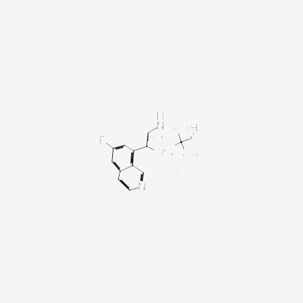 CC(C)(C)[Si](C)(C)OC(CN)c1cc(F)cc2ccncc12